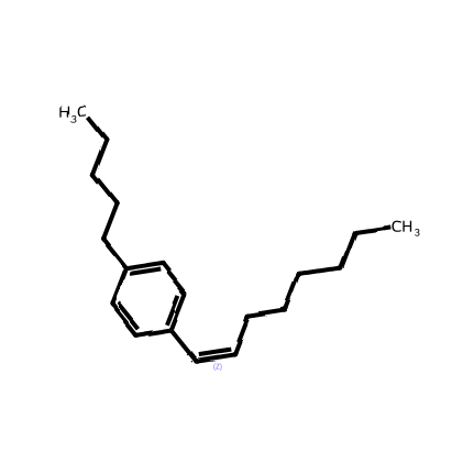 CCCCCC/C=[C]\c1ccc(CCCCC)cc1